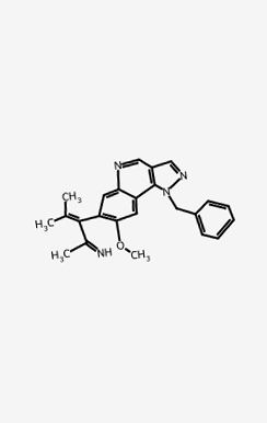 COc1cc2c(cc1C(C(C)=N)=C(C)C)ncc1cnn(Cc3ccccc3)c12